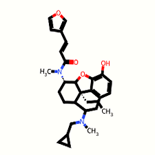 CCC[C@@]12c3c4ccc(O)c3OC1[C@@H](N(C)C(=O)/C=C/c1ccoc1)CCC2C(N(C)CC1CC1)C4